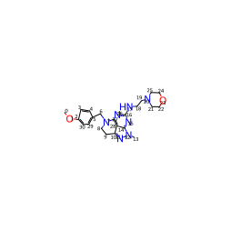 COc1ccc(CN2CCc3nn(C)c4nc(NCCN5CCOCC5)nc2c34)cc1